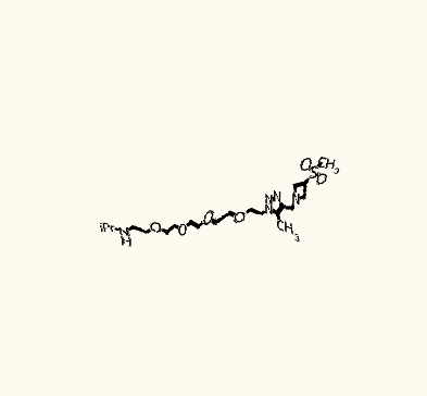 Cc1c(CN2CC(S(C)(=O)=O)C2)nnn1CCOCCOCCOCCOCCNC(C)C